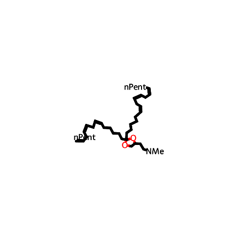 CCCCC/C=C\C/C=C\C/C=C\CCCCCC1(CCCCC/C=C\C/C=C\C/C=C\CCCCC)OCC(CCNC)O1